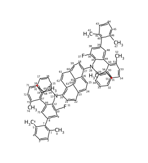 Cc1cccc(C)c1-c1cc(F)c(N(c2ccccc2)c2ccc3ccc4c(N(c5ccccc5)c5c(F)cc(-c6c(C)cccc6C)cc5-c5c(C)cccc5C)ccc5ccc2c3c54)c(-c2c(C)cccc2C)c1